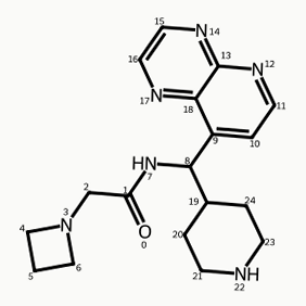 O=C(CN1CCC1)NC(c1ccnc2nccnc12)C1CCNCC1